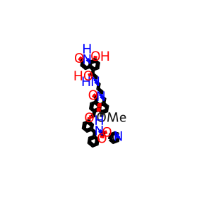 COc1ccc(CN(CCCNCC(O)c2ccc(O)c3[nH]c(=O)ccc23)C(=O)c2ccc(COc3cccc([C@@H](NC(=O)OC4CN5CCC4CC5)c4ccccc4)c3)cc2)cc1